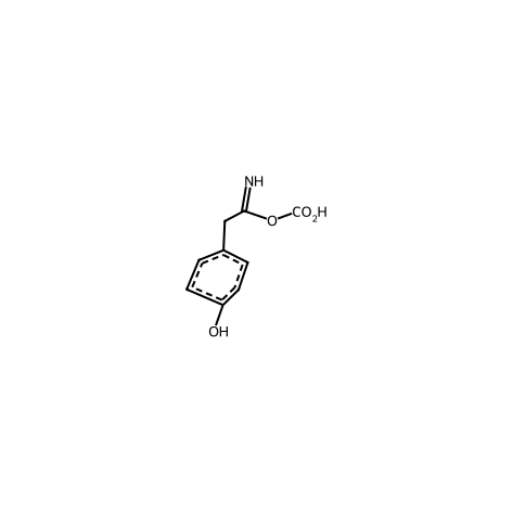 N=C(Cc1ccc(O)cc1)OC(=O)O